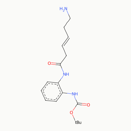 CC(C)(C)OC(=O)Nc1ccccc1NC(=O)CC=CCCN